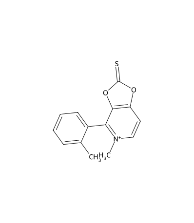 Cc1ccccc1-c1c2oc(=S)oc2cc[n+]1C